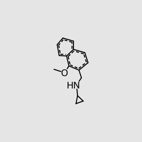 COc1c(CNC2CC2)ccc2ccccc12